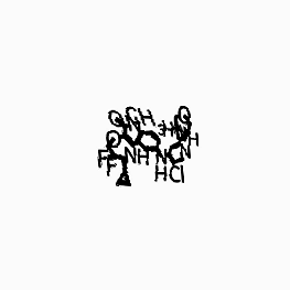 Cn1c(=O)c2c(c3cc(Nc4cc(N5[C@@H]6CC[C@H]5COC6)ncc4Cl)ccc31)NC(C1CC1)C(F)(F)CO2